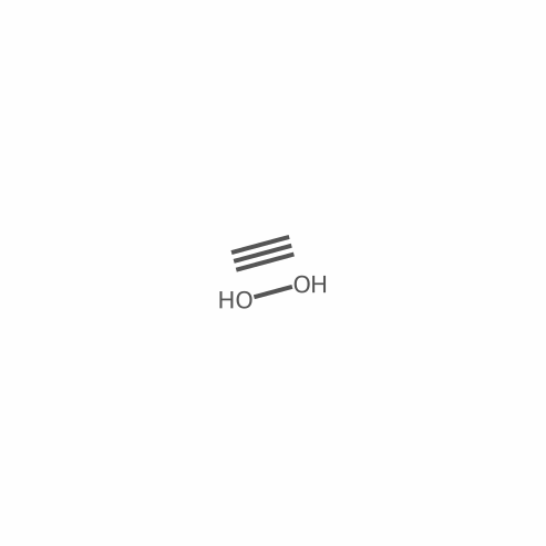 C#C.OO